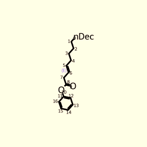 CCCCCCCCCCCCCC/C=C/CC(=O)Oc1ccccc1